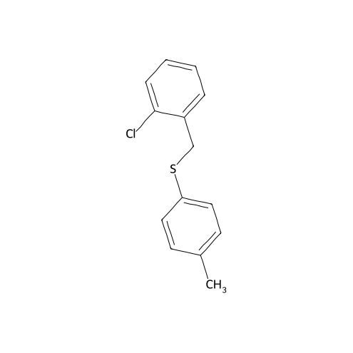 Cc1ccc(SCc2ccccc2Cl)cc1